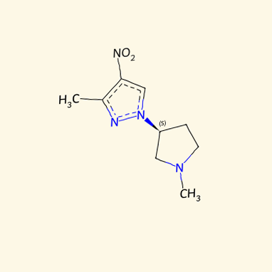 Cc1nn([C@H]2CCN(C)C2)cc1[N+](=O)[O-]